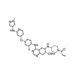 C=CC(=O)N1CCC(Nc2cc3c(Nc4ccc(Oc5ccnc(Nc6cnn(C)c6)c5)cc4F)ncnc3cc2OC)CC1